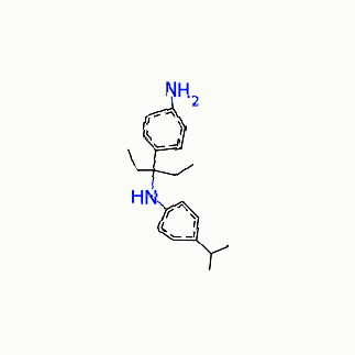 CCC(CC)(Nc1ccc(C(C)C)cc1)c1ccc(N)cc1